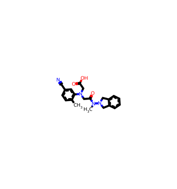 Cc1ccc(C#N)cc1N(CC(=O)O)CC(=O)N(C)N1Cc2ccccc2C1